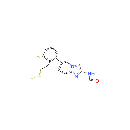 O=CNc1cn2cc(-c3cccc(F)c3CCSF)ccc2n1